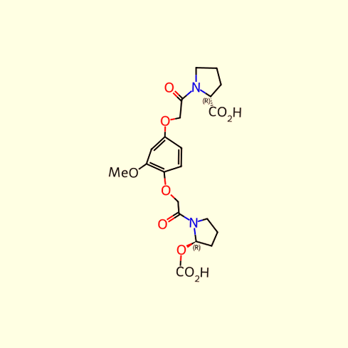 COc1cc(OCC(=O)N2CCC[C@@H]2C(=O)O)ccc1OCC(=O)N1CCC[C@H]1OC(=O)O